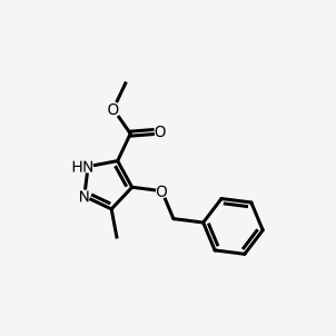 COC(=O)c1[nH]nc(C)c1OCc1ccccc1